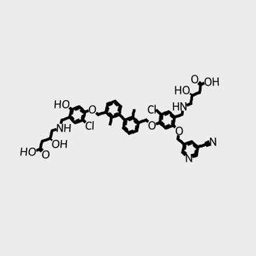 Cc1c(COc2cc(O)c(CNC[C@@H](O)CC(=O)O)cc2Cl)cccc1-c1cccc(COc2cc(OCc3cncc(C#N)c3)c(CNC[C@@H](O)CC(=O)O)cc2Cl)c1C